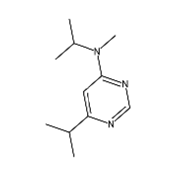 CC(C)c1cc(N(C)C(C)C)ncn1